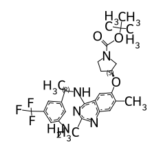 Cc1nc(N[C@H](C)c2cc(N)cc(C(F)(F)F)c2)c2cc(O[C@H]3CCN(C(=O)OC(C)(C)C)C3)c(C)cc2n1